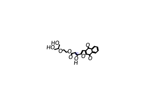 O=C(/C=C(\O)c1cc2c(o1)C(=O)c1ccccc1C2=O)OCCOC(CO)CO